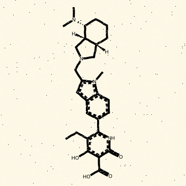 CCc1c(-c2ccc3c(c2)cc(CN2C[C@H]4CCC[C@@H](N(C)C)[C@H]4C2)n3C)[nH]c(=O)c(C(=O)O)c1O